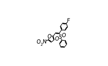 O=[N+]([O-])c1ccc(C=C(c2ccc(F)cc2)S(=O)(=O)c2ccccc2)o1